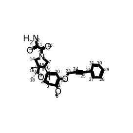 COc1ccc([C@@H]2CN(C(=O)C(N)=O)C[C@@]2(C)[C@@H](C)O)cc1OCC#Cc1ccccc1